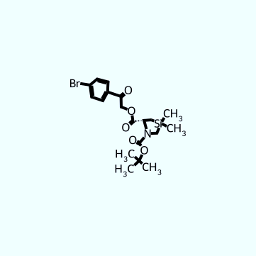 CC(C)(C)OC(=O)N1C[Si](C)(C)C[C@H]1C(=O)OCC(=O)c1ccc(Br)cc1